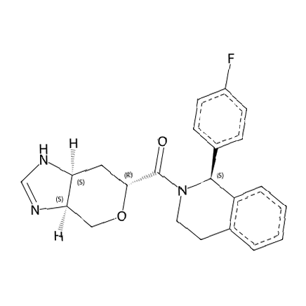 O=C([C@H]1C[C@@H]2NC=N[C@@H]2CO1)N1CCc2ccccc2[C@@H]1c1ccc(F)cc1